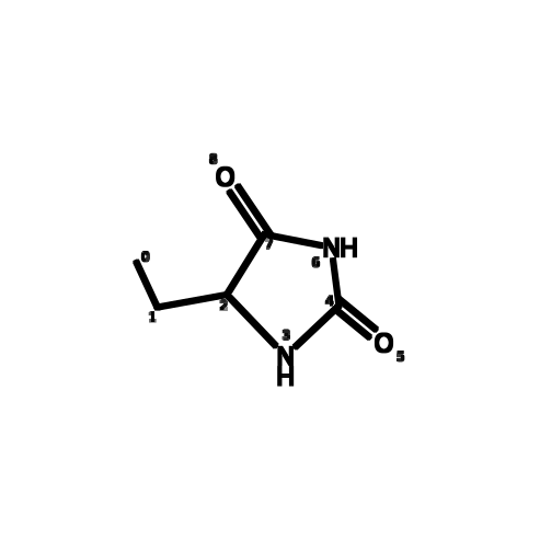 CCC1NC(=O)NC1=O